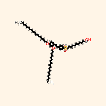 CCCCCCCCCCCCCCCCCCOc1ccc(C=Cc2ccc(S(=O)(=O)CCCCCCCCCCCO)cc2)c(OCCCCCCCCCCCCCCCCCC)c1